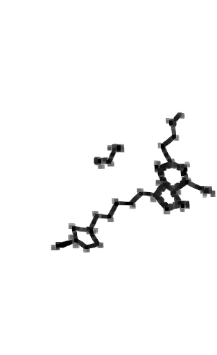 COCCc1nc(N)c2[nH]cc(CCCCCN3CC[C@@H](F)C3)c2n1.O=CO